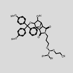 COc1ccc(C(OC2C(OC(C)=O)C3OC2C2C(=O)N(CCCOP(OCCC#N)N(C(C)C)C(C)C)C(=O)C32)(c2ccccc2)c2ccc(OC)cc2)cc1